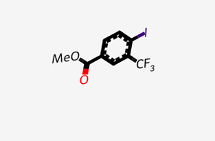 COC(=O)c1ccc(I)c(C(F)(F)F)c1